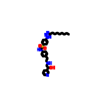 CCCCCCCCc1nnn(-c2ccc(S(=O)(=O)Nc3ccc(CCNCC(O)c4cccnc4)cc3)cc2)n1